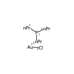 CCCP(CCC)CCC.[Cl][Au]